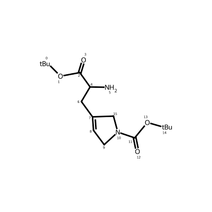 CC(C)(C)OC(=O)C(N)CC1=CCN(C(=O)OC(C)(C)C)C1